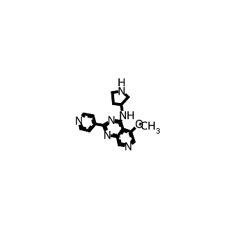 COc1cncc2nc(-c3ccncc3)nc(NC3CCNC3)c12